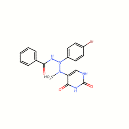 O=C(NN(c1ccc(Br)cc1)N(c1c[nH]c(=O)[nH]c1=O)S(=O)(=O)O)c1ccccc1